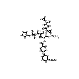 C=C[C@@H]1C[C@]1(NC(=O)[C@H](CNc1ccc(-c2cccc(OC)c2)cc1)NC(=O)[C@@H](NC(=O)OC1CCCC1)C(C)(C)C)C(=O)NS(=O)(=O)C1CC1